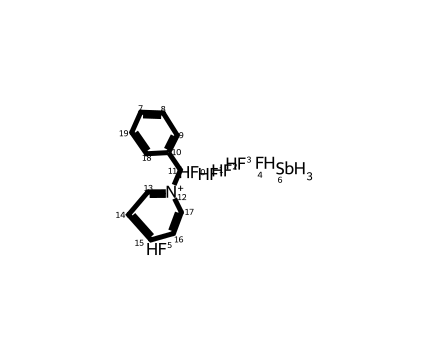 F.F.F.F.F.F.[SbH3].c1ccc(C[n+]2ccccc2)cc1